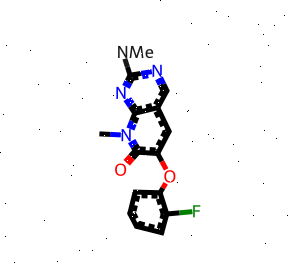 CNc1ncc2cc(Oc3ccccc3F)c(=O)n(C)c2n1